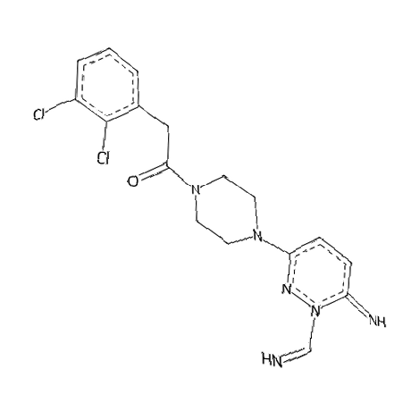 N=Cn1nc(N2CCN(C(=O)Cc3cccc(Cl)c3Cl)CC2)ccc1=N